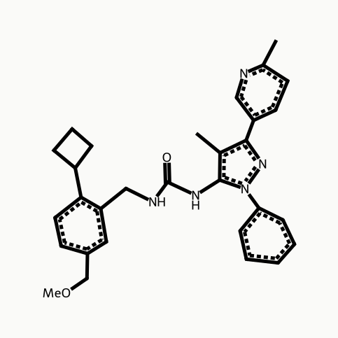 COCc1ccc(C2CCC2)c(CNC(=O)Nc2c(C)c(-c3ccc(C)nc3)nn2-c2ccccc2)c1